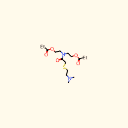 CCC(=O)OCCN(CCOC(=O)CC)C(=O)CSCCN(C)C